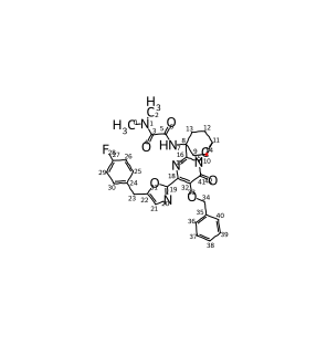 CN(C)C(=O)C(=O)NC12CCC(CC1)Cn1c2nc(-c2ncc(Cc3ccc(F)cc3)o2)c(OCc2ccccc2)c1=O